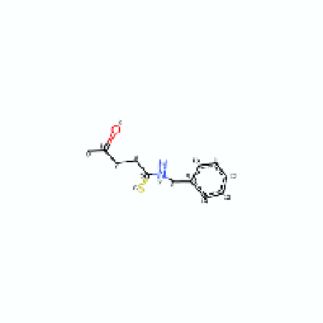 CC(=O)CCC(=S)NCc1ccccc1